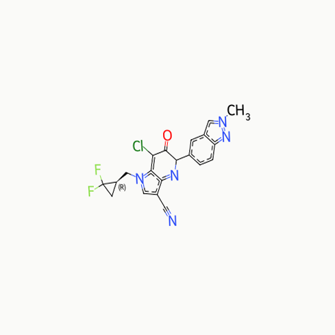 Cn1cc2cc(C3N=c4c(C#N)cn(C[C@H]5CC5(F)F)c4=C(Cl)C3=O)ccc2n1